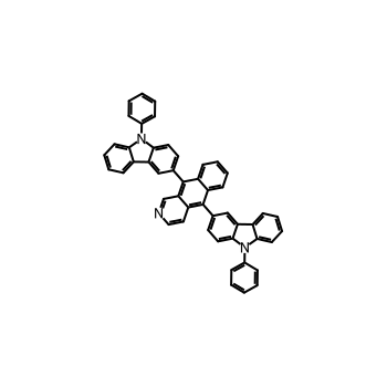 c1ccc(-n2c3ccccc3c3cc(-c4c5ccccc5c(-c5ccc6c(c5)c5ccccc5n6-c5ccccc5)c5cnccc45)ccc32)cc1